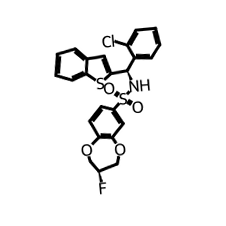 O=S(=O)(N[C@@H](c1cc2ccccc2s1)c1ccccc1Cl)c1ccc2c(c1)OC[C@@H](F)CO2